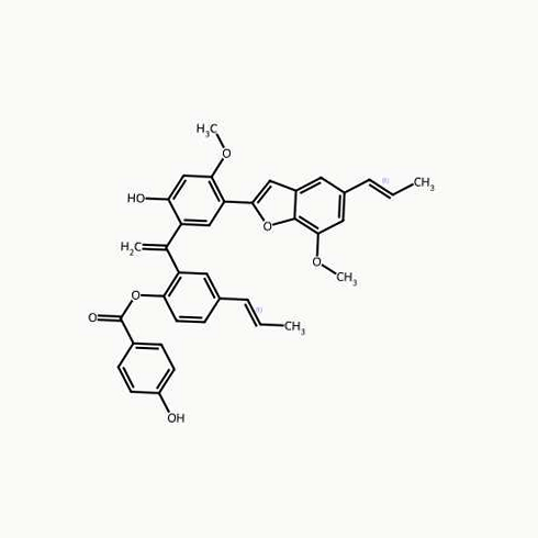 C=C(c1cc(-c2cc3cc(/C=C/C)cc(OC)c3o2)c(OC)cc1O)c1cc(/C=C/C)ccc1OC(=O)c1ccc(O)cc1